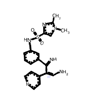 Cc1nc(S(=O)(=O)Nc2cccc(C(=N)/C(=C\N)c3ccncc3)c2)cn1C